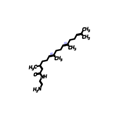 CC(C)=CCC/C(C)=C/CC/C(C)=C/CCC(C)CC(=O)NCCN